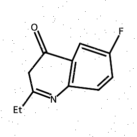 CCC1=Nc2ccc(F)cc2C(=O)C1